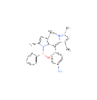 CC1=CC(C)=[N+](C)/C1=C(/c1ccc(N)cc1)c1c(C)cc(C)n1B(O)c1ccccc1